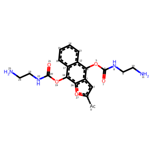 CC(=O)c1cc2c(OC(=O)NCCN)c3ccccc3c(OC(=O)NCCN)c2o1